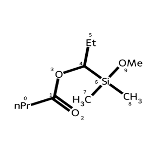 CCCC(=O)OC(CC)[Si](C)(C)OC